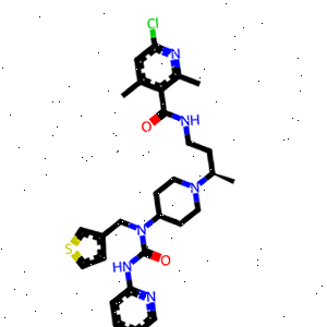 Cc1cc(Cl)nc(C)c1C(=O)NCC[C@@H](C)N1CCC(N(Cc2ccsc2)C(=O)Nc2ccccn2)CC1